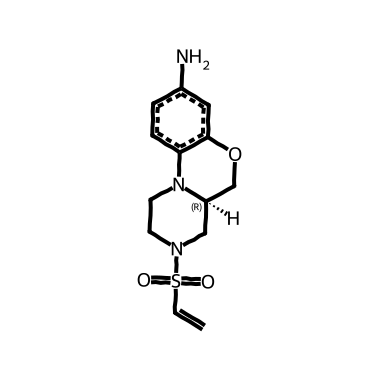 C=CS(=O)(=O)N1CCN2c3ccc(N)cc3OC[C@H]2C1